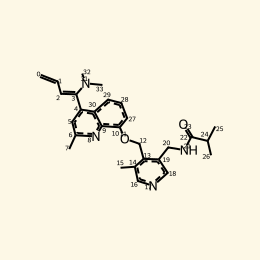 C=C/C=C(/c1cc(C)nc2c(OCc3c(C)cncc3CNC(=O)C(C)C)cccc12)N(C)C